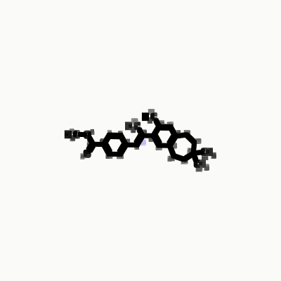 COC(=O)c1ccc(/C=C(\C)c2cc3c(cc2C)CCC(C)(C)CC3)cc1